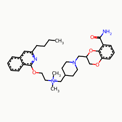 CCCCc1cc2ccccc2c(OCC[N+](C)(C)CC2CCN(CC3COc4cccc(C(N)=O)c4O3)CC2)n1